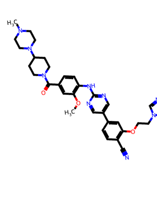 COc1cc(C(=O)N2CCC(N3CCN(C)CC3)CC2)ccc1Nc1ncc(-c2ccc(C#N)c(OCCn3cncn3)c2)cn1